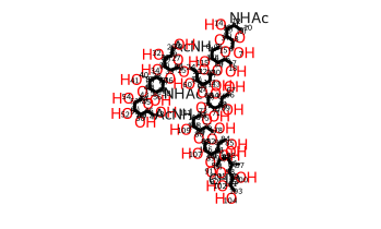 CC(=O)NC1[C@H](O[C@@H]2C(CO)O[C@@H](C)C(NC(C)=O)[C@H]2O)OC(CO)[C@@H](O[C@@H]2OC(CO[C@H]3OC(CO)[C@@H](O)[C@H](O)C3O[C@@H]3C[C@@H](CO)[C@@H](O[C@@H]4OC(CO)[C@H](O)[C@H](O)C4O)C(O)C3NC(C)=O)[C@@H](O)[C@H](O[C@H]3OC(CO)[C@@H](O)C(O)C3O[C@@H]3OC(CO)[C@H](O[C@@H]4OC(CO)[C@H](O)[C@H](O[C@]5(OC=O)C[C@@H](O)[C@@H](C)C(C(O)C(O)CO)O5)C4O)[C@H](O)C3NC(C)=O)C2O)[C@@H]1O